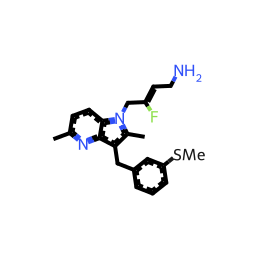 CSc1cccc(Cc2c(C)n(C/C(F)=C/CN)c3ccc(C)nc23)c1